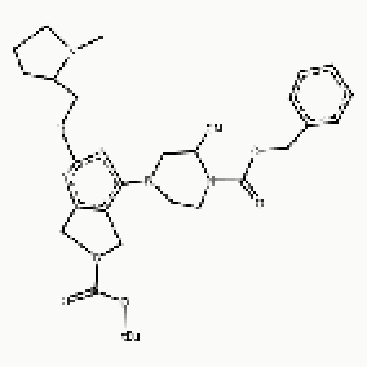 CN1CCCC1COc1nc2c(c(N3CCN(C(=O)OCc4ccccc4)C(C#N)C3)n1)CN(C(=O)OC(C)(C)C)C2